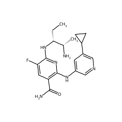 CC[C@@H](Nc1nc(Nc2cncc(C3CC3)c2)c(C(N)=O)cc1F)[C@H](C)N